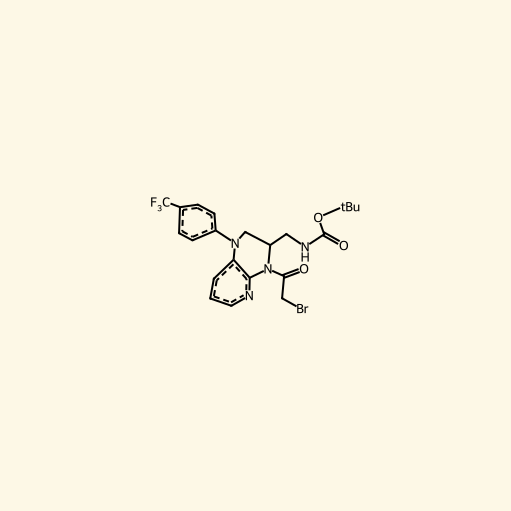 CC(C)(C)OC(=O)NCC1CN(c2ccc(C(F)(F)F)cc2)c2cccnc2N1C(=O)CBr